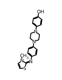 Cn1ccsc1=Nc1ccc(N2CCN(c3ccc(O)cc3)CC2)cc1